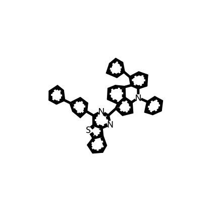 c1ccc(-c2ccc(-c3nc(-c4ccc5c6c(cccc46)-c4c(-c6ccccc6)cccc4N5c4ccccc4)nc4c3sc3ccccc34)cc2)cc1